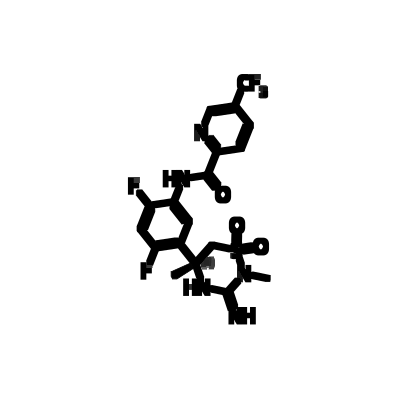 CN1C(=N)N[C@](C)(c2cc(NC(=O)c3ccc(C(F)(F)F)cn3)c(F)cc2F)CS1(=O)=O